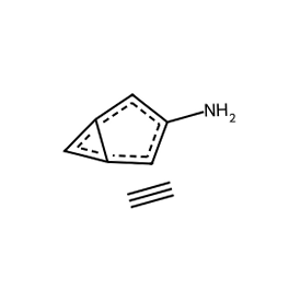 C#C.Nc1cc2cc-2c1